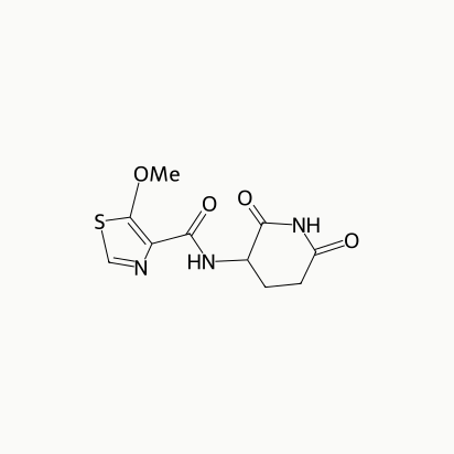 COc1scnc1C(=O)NC1CCC(=O)NC1=O